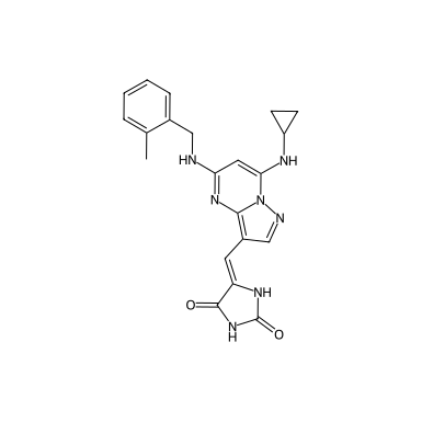 Cc1ccccc1CNc1cc(NC2CC2)n2ncc(/C=C3\NC(=O)NC3=O)c2n1